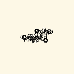 CC(C)[C@H](NC(=O)N1CCOCC1)C(=O)N[C@@H](Cc1ccccc1)C[C@H](O)[C@H](Cc1ccccc1)NC(=O)[C@@H](NC(=O)N1CCOCC1)C(C)C